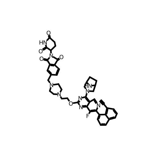 C#Cc1cccc2cccc(-c3ncc4c(N5CC6CCC(C5)N6)nc(OCCN5CCN(Cc6ccc7c(c6)C(=O)N(C6CCC(=O)NC6=O)C7=O)CC5)nc4c3F)c12